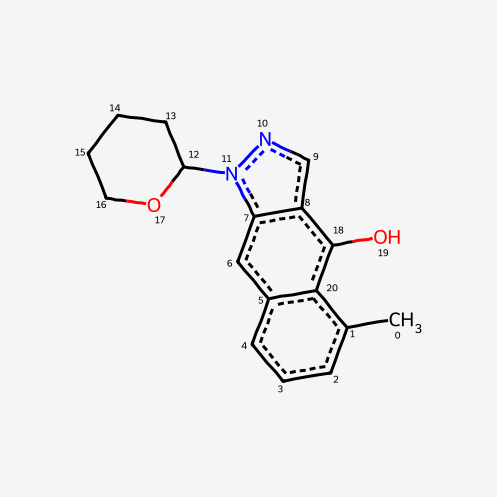 Cc1cccc2cc3c(cnn3C3CCCCO3)c(O)c12